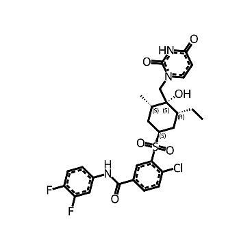 CC[C@@H]1C[C@@H](S(=O)(=O)c2cc(C(=O)Nc3ccc(F)c(F)c3)ccc2Cl)C[C@H](C)[C@@]1(O)Cn1ccc(=O)[nH]c1=O